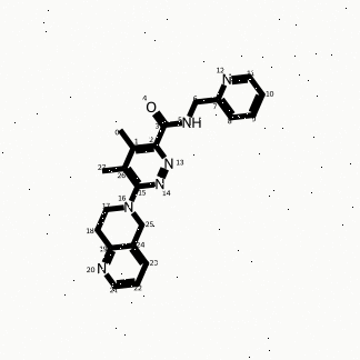 Cc1c(C(=O)NCc2ccccn2)nnc(N2CCc3ncccc3C2)c1C